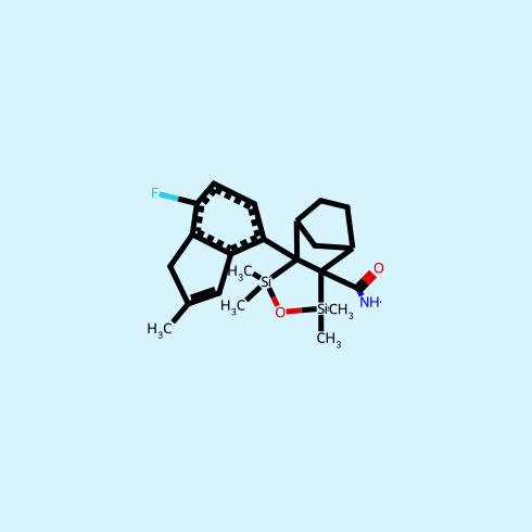 CC1=Cc2c(C34C5CCC(C5)C3(C([NH])=O)[Si](C)(C)O[Si]4(C)C)ccc(F)c2C1